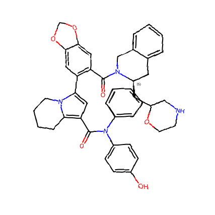 O=C(c1cc(-c2cc3c(cc2C(=O)N2Cc4ccccc4C[C@H]2CC2CNCCO2)OCO3)n2c1CCCC2)N(c1ccccc1)c1ccc(O)cc1